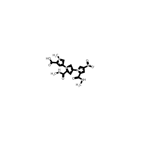 CNC(=O)c1cc(-n2cc([N+](=O)[O-])cc2C(=O)NC)cn1-c1cc(C(=O)O)n(C)c1